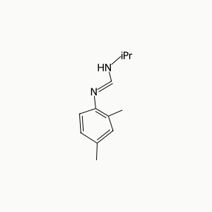 Cc1ccc(N=CNC(C)C)c(C)c1